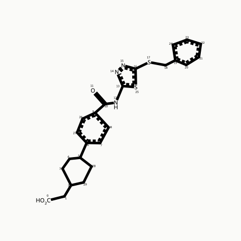 O=C(O)CC1CCC(c2ccc(C(=O)Nc3nnc(SCc4ccccc4)s3)cc2)CC1